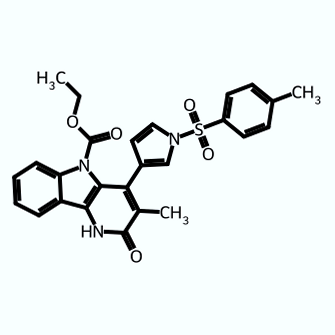 CCOC(=O)n1c2ccccc2c2[nH]c(=O)c(C)c(-c3ccn(S(=O)(=O)c4ccc(C)cc4)c3)c21